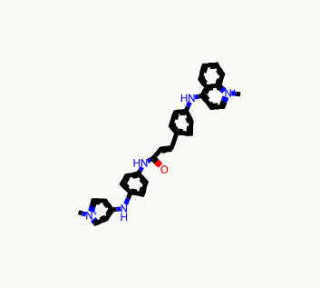 C[n+]1ccc(Nc2ccc(NC(=O)/C=C/c3ccc(Nc4cc[n+](C)c5ccccc45)cc3)cc2)cc1